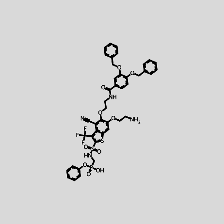 N#Cc1c(OCCNC(=O)c2ccc(OCc3ccccc3)c(OCc3ccccc3)c2)c(OCCN)cc2sc(S(=O)(=O)NCP(=O)(O)Oc3ccccc3)c(C(F)(F)F)c12